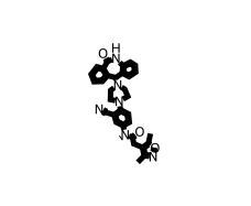 Cc1noc(C)c1CC(=O)N(C)c1ccc(N2CCN(C3c4ccccc4NC(=O)c4ccccc43)CC2)c(C#N)c1